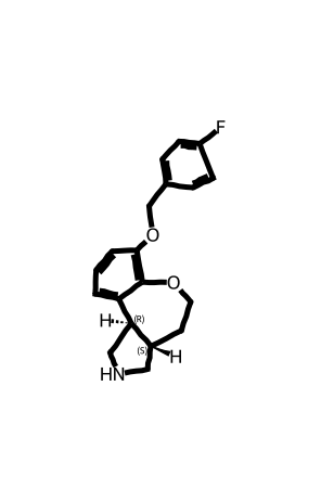 Fc1ccc(COc2cccc3c2OCC[C@@H]2CNC[C@@H]32)cc1